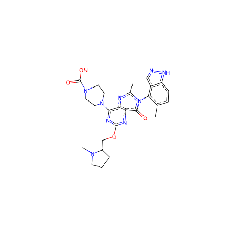 Cc1ccc2[nH]ncc2c1-n1c(C)nc2c(N3CCN(C(=O)O)CC3)nc(OCC3CCCN3C)nc2c1=O